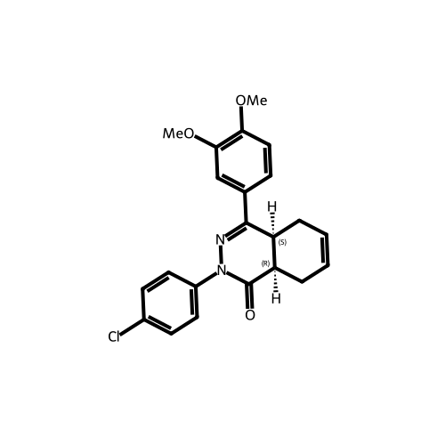 COc1ccc(C2=NN(c3ccc(Cl)cc3)C(=O)[C@@H]3CC=CC[C@H]23)cc1OC